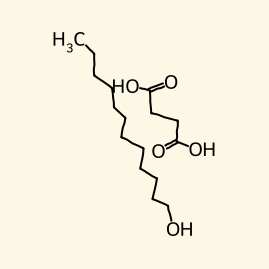 CCCCCCCCCCCCO.O=C(O)CCC(=O)O